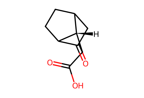 O=C(O)C[C@H]1C2CCC1C(=O)C2